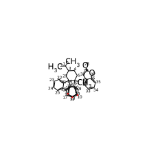 CC(C)C1CCC(C)(c2ccccc2)C(c2ccccc2)(c2ccccc2)C1.O=C1Cc2ccccc2O1